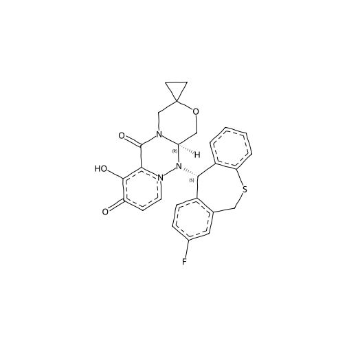 O=C1c2c(O)c(=O)ccn2N([C@H]2c3ccc(F)cc3CSc3ccccc32)[C@@H]2COC3(CC3)CN12